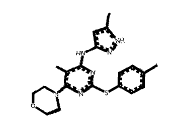 Cc1ccc(Sc2nc(Nc3cc(C)[nH]n3)c(C)c(N3CCOCC3)n2)cc1